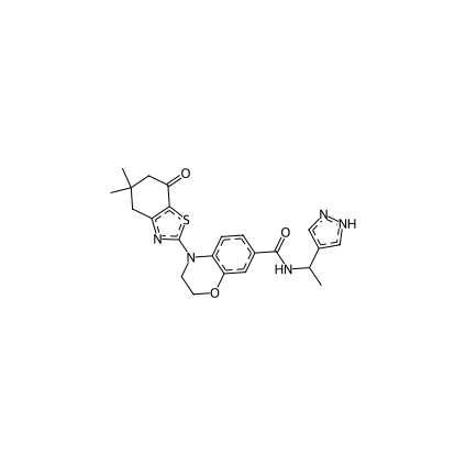 CC(NC(=O)c1ccc2c(c1)OCCN2c1nc2c(s1)C(=O)CC(C)(C)C2)c1cn[nH]c1